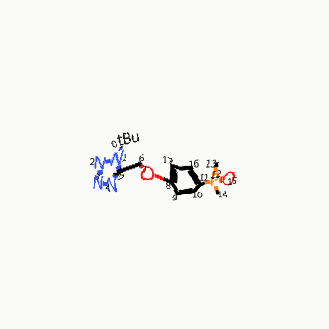 CC(C)(C)n1nnnc1COc1ccc(P(C)(C)=O)cc1